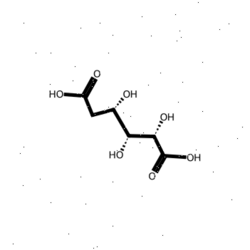 O=C(O)C[C@H](O)[C@@H](O)[C@H](O)C(=O)O